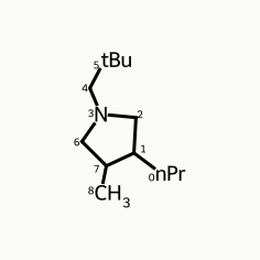 CCCC1CN(CC(C)(C)C)CC1C